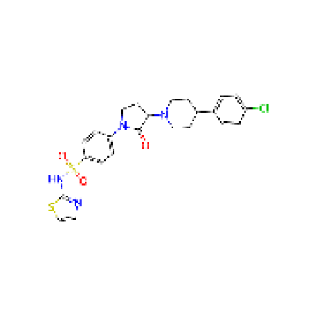 O=C1C(N2CCC(c3ccc(Cl)cc3)CC2)CCN1c1ccc(S(=O)(=O)Nc2nccs2)cc1